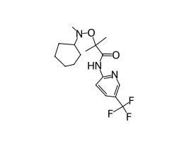 CN(OC(C)(C)C(=O)Nc1ccc(C(F)(F)F)cn1)C1CCCCC1